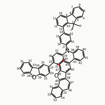 CC1(C)c2ccccc2-c2cccc(-c3ccc(N(c4ccc(-c5ccc6oc7ccccc7c6c5)cc4)c4ccccc4-c4ccc5oc6c7ccccc7ccc6c5c4)cc3)c21